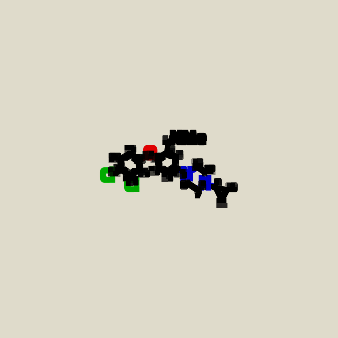 CNCc1cc(N2CCN(C3CC3)CC2)ccc1Oc1ccc(Cl)c(Cl)c1